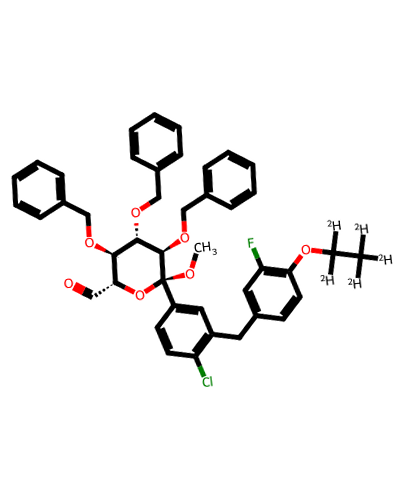 [2H]C([2H])([2H])C([2H])([2H])Oc1ccc(Cc2cc([C@]3(OC)O[C@H](C=O)[C@@H](OCc4ccccc4)[C@H](OCc4ccccc4)[C@H]3OCc3ccccc3)ccc2Cl)cc1F